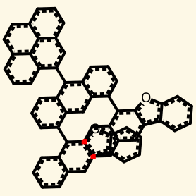 c1ccc2c(-c3cccc4c(-c5cc6cccc7ccc8cccc5c8c76)c5cccc(-c6c7ccccc7cc7c6oc6ccccc67)c5cc34)c3oc4ccccc4c3cc2c1